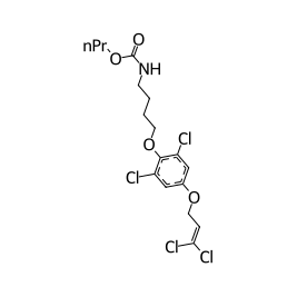 CCCOC(=O)NCCCCOc1c(Cl)cc(OCC=C(Cl)Cl)cc1Cl